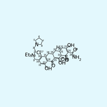 CCN(CCN1CCCC1)Cc1cc(O)c2c(c1Cl)CC1C[C@H]3CC(O)=C(C(N)=O)C(=O)[C@@]3(O)C(O)=C1C2=O